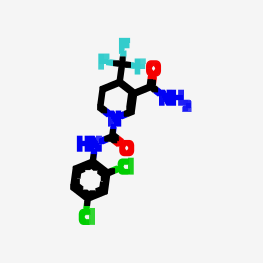 NC(=O)C1=CN(C(=O)Nc2ccc(Cl)cc2Cl)CCC1C(F)(F)F